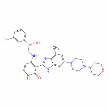 Cc1cc(N2CCN(C3CCOCC3)CC2)cc2[nH]c(-c3c(NCC(O)c4cccc(Cl)c4)cc[nH]c3=O)nc12